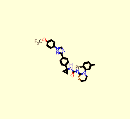 Cc1ccc(C(C)C)c(N2CCCS/C2=N\C(=O)NC2(c3ccc(-c4ncn(-c5ccc(OC(F)(F)F)cc5)n4)cc3)CC2)c1